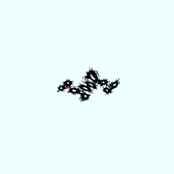 CC1C=Cc2c(n(-c3ccc4c5ccccc5n(-c5ccc(-c6ccc(-n7c8c(c9c7C(C)C(n7c%10ccccc%10c%10ccccc%107)C=C9)C=CCC8C)cc6)cc5)c4c3)c3ccccc23)C1